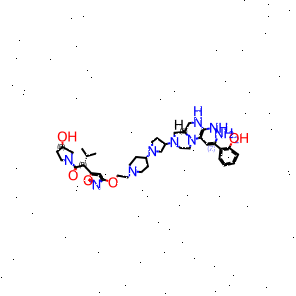 CC(C)[C@@H](C(=O)N1CC[C@@H](O)C1)c1cc(OCCN2CCC(N3CCC(N4CCN5C(/C=C(\N)c6ccccc6O)=C(N)NC[C@H]5C4)C3)CC2)no1